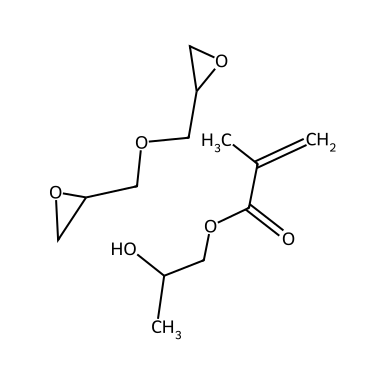 C(OCC1CO1)C1CO1.C=C(C)C(=O)OCC(C)O